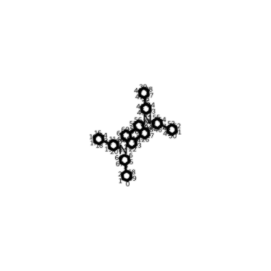 c1ccc(-c2ccc(N(c3ccc(-c4ccccc4)cc3)c3ccc4c5cccc6c(N(c7ccc(-c8ccccc8)cc7)c7ccc(-c8ccccc8)cc7)ccc(c7cccc3c74)c65)cc2)cc1